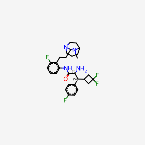 CN1C2CCCN(CC2)C1CCc1c(F)cccc1NC(=O)[C@@H](N)[C@H](c1ccc(F)cc1)C1CC(F)(F)C1